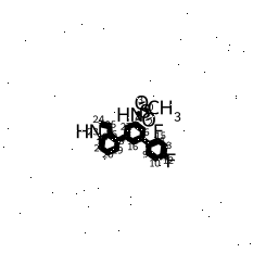 CS(=O)(=O)Nc1cc(-c2ccc(F)cc2F)cc(-c2cccc3[nH]ccc23)c1